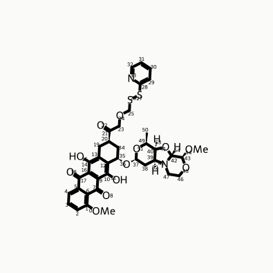 COc1cccc2c1C(=O)c1c(O)c3c(c(O)c1C2=O)C[C@@H](C(=O)COCSSc1ccccn1)C[C@@H]3O[C@H]1C[C@H]2[C@H](O[C@@H]3[C@@H](OC)OCCN32)[C@H](C)O1